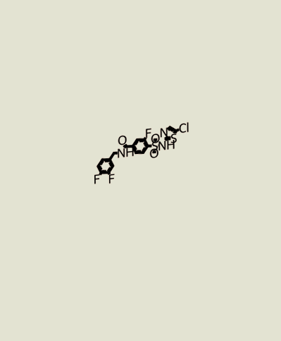 O=C(NCc1ccc(F)c(F)c1)c1ccc(S(=O)(=O)Nc2ncc(Cl)s2)c(F)c1